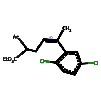 CCOC(=O)C(C/C=C(/C)c1cc(Cl)ccc1Cl)C(C)=O